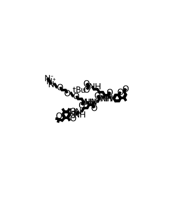 Cc1c(C)c(S(=O)(=O)NNCCCC(NC(=O)CCOCCOCCOCCN=[N+]=[N-])C(=O)NCC(=O)NC(CCCCNC(=O)OC(C)(C)C)C(=O)Nc2ccc3c(C)cc(=O)oc3c2)c(C)c2c1OC(C)(C)C2